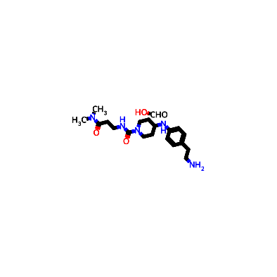 CN(C)C(=O)CCNC(=O)N1CCC(Nc2ccc(CCN)cc2)CC1.O=CO